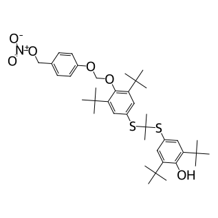 CC(C)(Sc1cc(C(C)(C)C)c(O)c(C(C)(C)C)c1)Sc1cc(C(C)(C)C)c(OCOc2ccc(CO[N+](=O)[O-])cc2)c(C(C)(C)C)c1